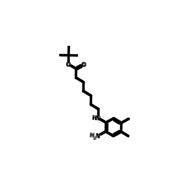 Cc1cc(N)c(NCCCCCCC(=O)OC(C)(C)C)cc1C